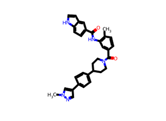 Cc1ccc(C(=O)N2CCC(c3ccc(-c4cnn(C)c4)cc3)CC2)cc1NC(=O)c1ccc2[nH]ccc2c1